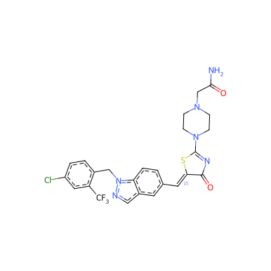 NC(=O)CN1CCN(C2=NC(=O)/C(=C/c3ccc4c(cnn4Cc4ccc(Cl)cc4C(F)(F)F)c3)S2)CC1